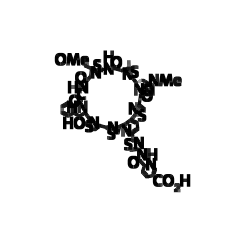 CNC(=O)C[C@@H]1NC(=O)c2csc(n2)-c2ccc(-c3nc(NC(=O)c4ccc(C(=O)O)cn4)cs3)nc2-c2csc(n2)-c2csc(n2)[C@H]([C@@H](O)c2ccccc2)NC(=O)CNC(=O)c2nc(sc2COC)NC(=O)c2nc1sc2C